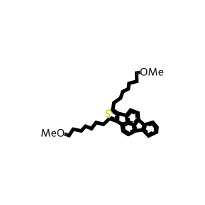 COCCCCCCCc1sc(CCCCCCCOC)c2c1-c1ccc3c4c(ccc-2c14)-c1ccccc1-3